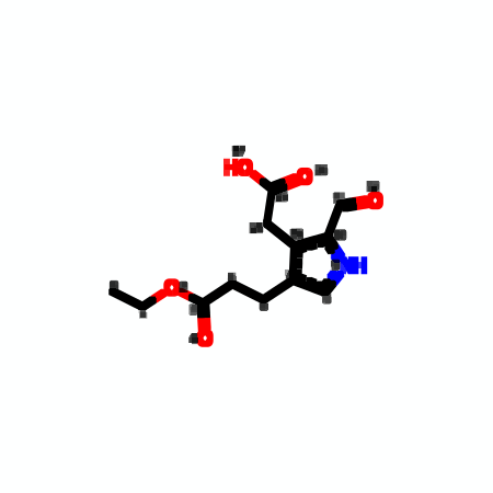 CCOC(=O)CCc1c[nH]c(C=O)c1CC(=O)O